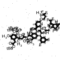 Cc1cc(CC(=O)OC(C)(C)C)c(C(C)(C)CC(=O)N(c2nn(C)c3c(-n4c([C@H](Cc5cc(F)cc(F)c5)NC(=O)Cn5nc(C(F)F)c6c5C(F)(F)[C@@H]5C[C@H]65)nc5nc(OCCC(C)(F)F)ccc5c4=O)ccc(Cl)c23)S(C)(=O)=O)c(OP(=O)(OC(C)(C)C)OC(C)(C)C)c1